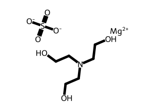 O=S(=O)([O-])[O-].OCCN(CCO)CCO.[Mg+2]